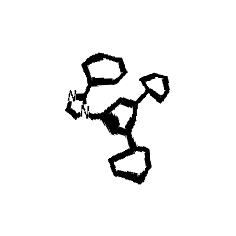 c1ccc(-c2cc(-c3ccccc3)cc(-n3ccnc3-c3ccccc3)c2)cc1